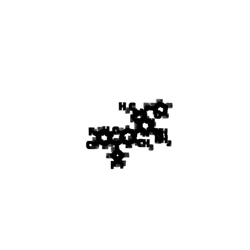 Cc1nc2c(N3C[C@@H](C)N(C(c4ccc(F)c(Cl)c4)C4CC(F)(F)C4)C[C@@H]3C)nc(NN)nc2n1CC1CCCO1